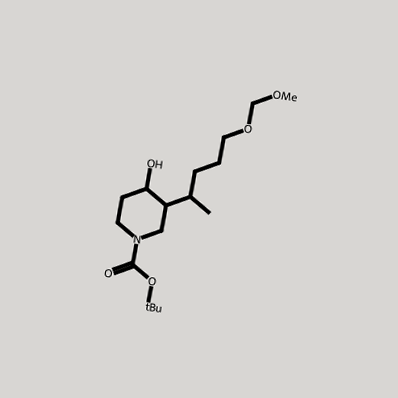 COCOCCCC(C)C1CN(C(=O)OC(C)(C)C)CCC1O